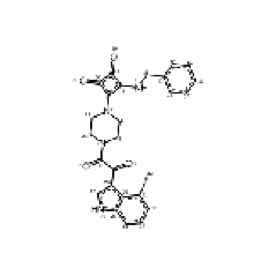 O=C(C(=O)N1CCN(c2c(NCc3ccccc3)c(=O)c2=O)CC1)c1c[nH]c2cccc(F)c12